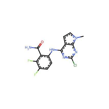 Cn1ccc2c(Nc3ccc(F)c(F)c3C(N)=O)nc(Cl)nc21